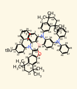 Cc1cc2c3c(c1)N(c1ccc(C(C)(C)C)cc1-c1ccccc1)c1c(oc4cc5c(cc14)C(C)(C)CCC5(C)C)B3c1ccc(N(c3ccccc3)c3ccccc3)cc1N2c1ccc2c(c1)C(C)(C)CCC2(C)C